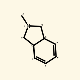 CN1CC2C=CC=CC2C1